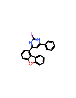 Ic1nc(-c2ccccc2)cc(-c2cccc3oc4ccccc4c23)n1